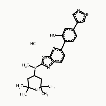 CN(c1nc2ccc(-c3ccc(-c4cn[nH]c4)cc3O)nc2s1)C1CC(C)(C)NC(C)(C)C1.Cl